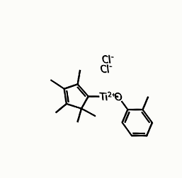 CC1=C(C)C(C)(C)[C]([Ti+2][O]c2ccccc2C)=C1C.[Cl-].[Cl-]